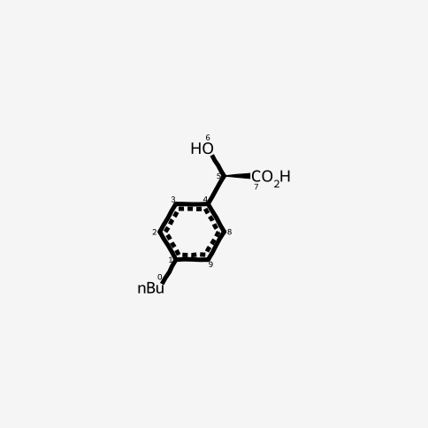 CCCCc1ccc([C@@H](O)C(=O)O)cc1